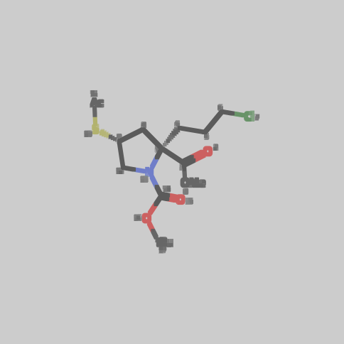 COC(=O)[C@]1(CCCCl)C[C@@H](SC(C)=O)CN1C(=O)OC(C)(C)C